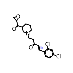 O=C(/C=C/c1ccc(Cl)cc1Cl)CCN1CCCC(C(=O)C2CO2)C1